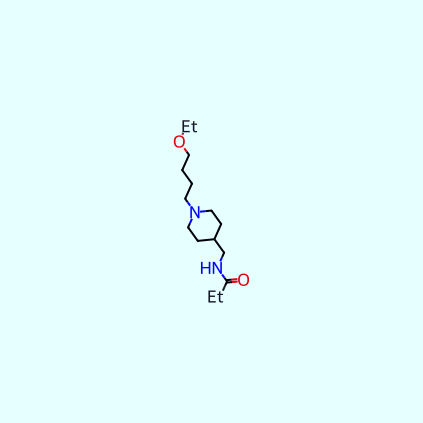 CCOCCCCN1CCC(CNC(=O)CC)CC1